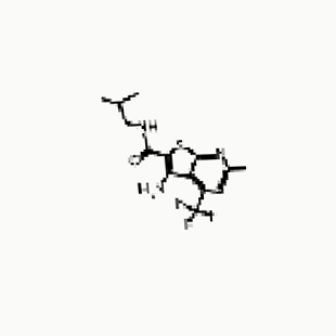 Cc1cc(C(F)(F)F)c2c(N)c(C(=O)NCC(C)C)sc2n1